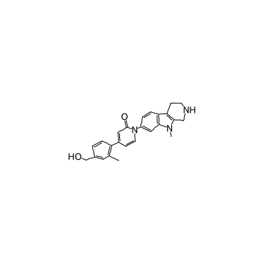 Cc1cc(CO)ccc1-c1ccn(-c2ccc3c4c(n(C)c3c2)CNCC4)c(=O)c1